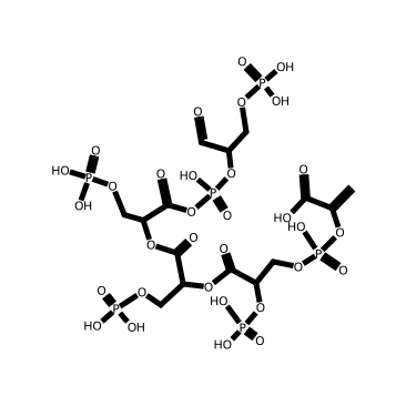 C=C(OP(=O)(O)OCC(OP(=O)(O)O)C(=O)OC(COP(=O)(O)O)C(=O)OC(COP(=O)(O)O)C(=O)OP(=O)(O)OC(C=O)COP(=O)(O)O)C(=O)O